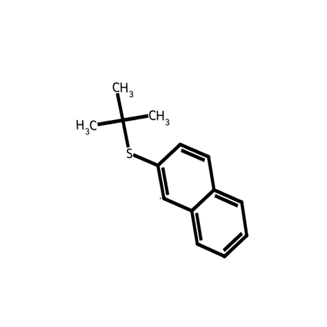 CC(C)(C)Sc1[c]c2ccccc2cc1